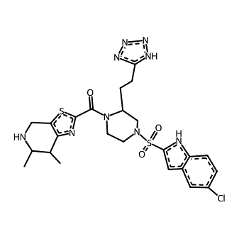 CC1NCc2sc(C(=O)N3CCN(S(=O)(=O)c4cc5cc(Cl)ccc5[nH]4)CC3CCc3nnn[nH]3)nc2C1C